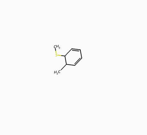 CS[C]1C=CC=CC1C